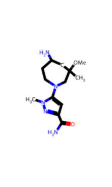 COC1(C)CC(N)CCN(c2[c]c(C(N)=O)nn2C)C1